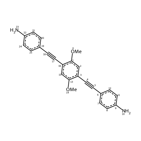 COc1cc(C#Cc2ccc(N)cc2)c(OC)cc1C#Cc1ccc(N)cc1